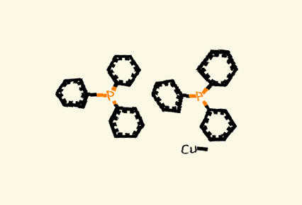 [CH3][Cu].c1ccc(P(c2ccccc2)c2ccccc2)cc1.c1ccc(P(c2ccccc2)c2ccccc2)cc1